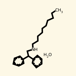 CCCCCCCCCCNCC(c1ccccc1)c1ccccc1.O